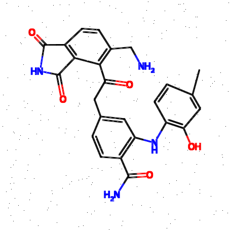 Cc1ccc(Nc2cc(CC(=O)c3c(CN)ccc4c3C(=O)NC4=O)ccc2C(N)=O)c(O)c1